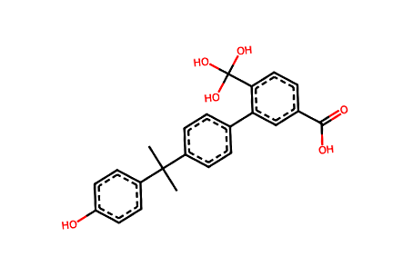 CC(C)(c1ccc(O)cc1)c1ccc(-c2cc(C(=O)O)ccc2C(O)(O)O)cc1